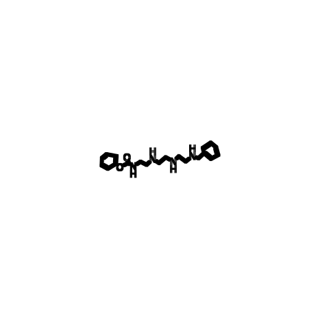 O=C(NCCNCCNCCNCc1ccccc1)Oc1ccccc1